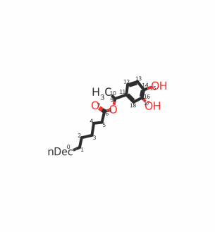 CCCCCCCCCCCCCCCC(=O)OC(C)c1ccc(O)c(O)c1